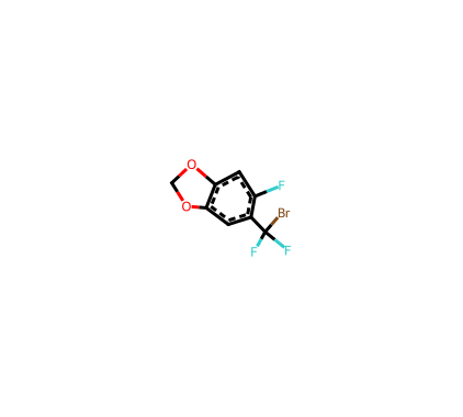 Fc1cc2c(cc1C(F)(F)Br)OCO2